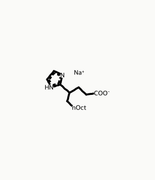 CCCCCCCCCC(CCC(=O)[O-])c1ncc[nH]1.[Na+]